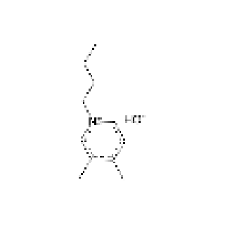 CCCC[n+]1ccc(C)c(C)c1.[OH-]